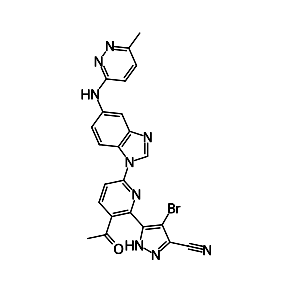 CC(=O)c1ccc(-n2cnc3cc(Nc4ccc(C)nn4)ccc32)nc1-c1[nH]nc(C#N)c1Br